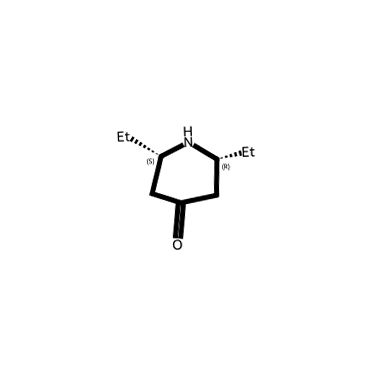 CC[C@@H]1CC(=O)C[C@H](CC)N1